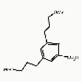 COCCCc1cc(CCCOC)cc(C(=O)O)c1